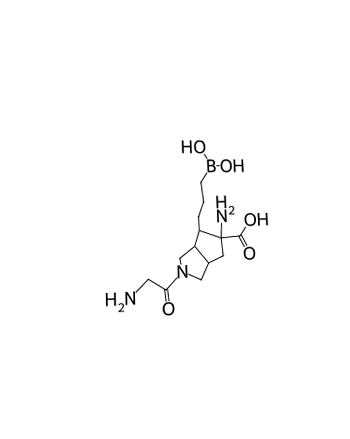 NCC(=O)N1CC2CC(N)(C(=O)O)C(CCCB(O)O)C2C1